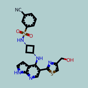 N#Cc1cccc(S(=O)(=O)N[C@H]2C[C@@H](Nc3c(-c4nc(CO)cs4)cnc4[nH]ccc34)C2)c1